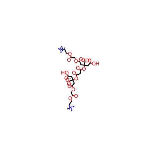 C[N+](C)(C)CCOC(=O)COC(=O)CC(CC(=O)O)(OC(=O)CC(=O)OC(CC(=O)O)(CC(=O)OCC(=O)OCC[N+](C)(C)C)C(=O)[O-])C(=O)[O-]